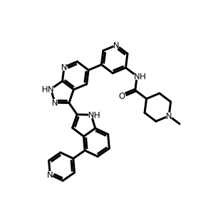 CN1CCC(C(=O)Nc2cncc(-c3cnc4[nH]nc(-c5cc6c(-c7ccncc7)cccc6[nH]5)c4c3)c2)CC1